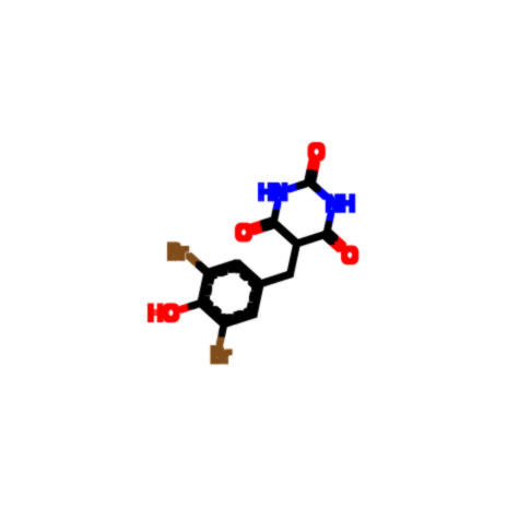 O=C1NC(=O)C(Cc2cc(Br)c(O)c(Br)c2)C(=O)N1